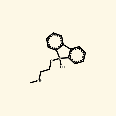 CNCCOS1(O)c2ccccc2-c2ccccc21